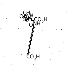 C[C@H](NC(=O)CCC(NC(=O)CCCCCCCCCCCCCCC(=O)O)C(=O)O)C(=O)S